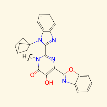 Cn1c(-c2nc3ccccc3n2C23CCC(C2)C3)nc(-c2nc3ccccc3o2)c(O)c1=O